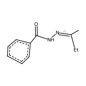 CC/C(C)=N\NC(=O)c1ccccc1